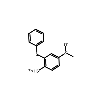 C[S+]([O-])c1ccc(S)c(Sc2ccccc2)c1.[Zn]